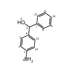 Bc1ccc(C(O)c2ccccc2)cc1